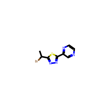 CC(Br)c1nnc(-c2cnccn2)s1